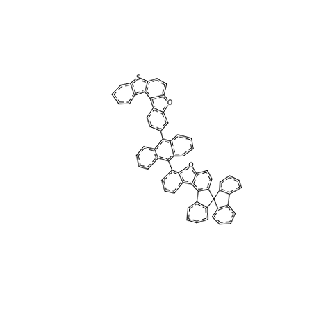 c1ccc2c(c1)-c1ccccc1C21c2ccccc2-c2c1ccc1oc3c(-c4c5ccccc5c(-c5ccc6c(c5)oc5ccc7sc8ccccc8c7c56)c5ccccc45)cccc3c21